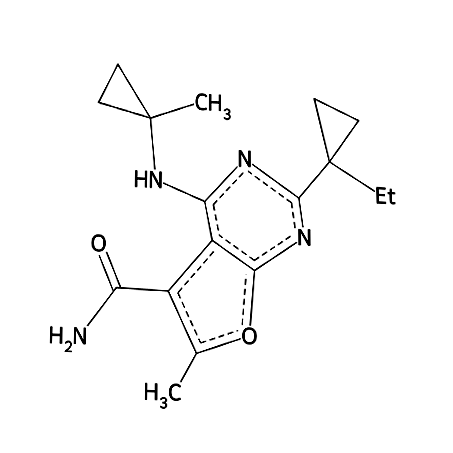 CCC1(c2nc(NC3(C)CC3)c3c(C(N)=O)c(C)oc3n2)CC1